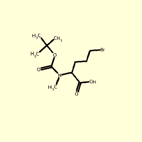 CN(C(=O)OC(C)(C)C)C(CCCBr)C(=O)O